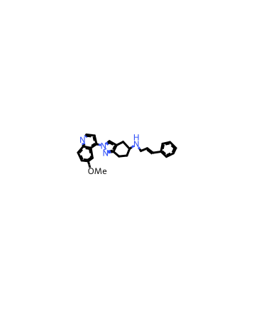 COc1ccc2nccc(-n3cc4c(n3)CCC(NCC=Cc3ccccc3)C4)c2c1